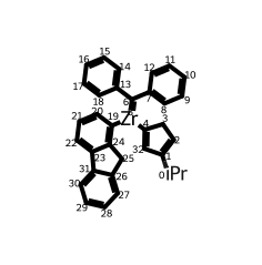 CC(C)C1=CC[C]([Zr](=[C](c2ccccc2)c2ccccc2)[c]2cccc3c2Cc2ccccc2-3)=C1